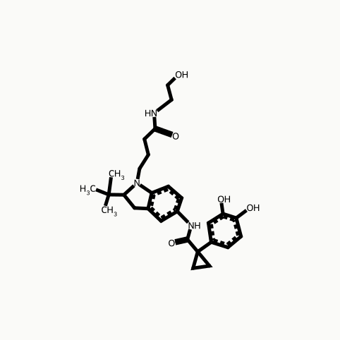 CC(C)(C)C1Cc2cc(NC(=O)C3(c4ccc(O)c(O)c4)CC3)ccc2N1CCCC(=O)NCCO